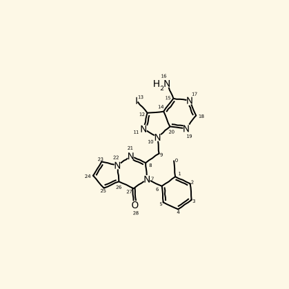 Cc1ccccc1-n1c(Cn2nc(I)c3c(N)ncnc32)nn2cccc2c1=O